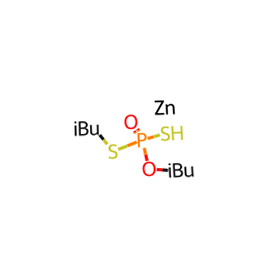 CCC(C)OP(=O)(S)SC(C)CC.[Zn]